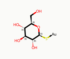 OC[C@H]1O[C@@H]([S][Au])[C@H](O)[C@@H](O)[C@@H]1O